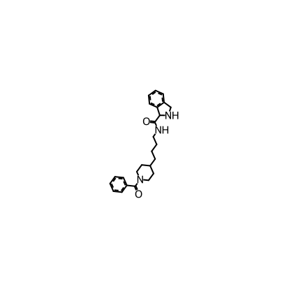 O=C(NCCCCC1CCN(C(=O)c2ccccc2)CC1)C1NCc2ccccc21